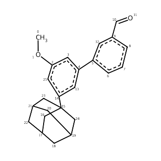 COc1cc(-c2cccc(C=O)c2)cc(C23CC4CC(CC(C4)C2)C3)c1